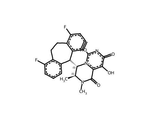 C[C@H]1[C@H](C2c3c#ccc(F)c3CCc3c(F)cccc32)n2c(O)nc(=O)c(O)c2C(=O)N1C